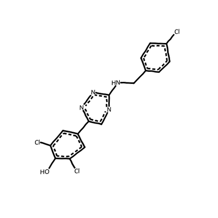 Oc1c(Cl)cc(-c2cnc(NCc3ccc(Cl)cc3)nn2)cc1Cl